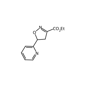 CCOC(=O)C1=NOC(c2ccccn2)C1